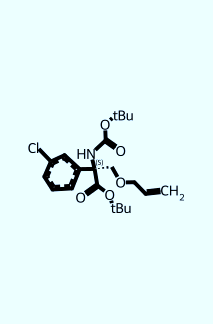 C=CCOC[C@](NC(=O)OC(C)(C)C)(C(=O)OC(C)(C)C)c1cccc(Cl)c1